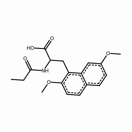 CCC(=O)NC(Cc1c(OC)ccc2ccc(OC)cc12)C(=O)O